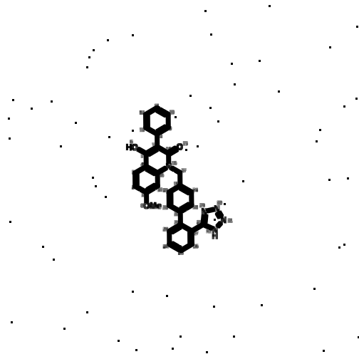 COc1ccc2c(O)c(-c3ccccc3)c(=O)n(Cc3ccc(-c4ccccc4-c4nnn[nH]4)cc3)c2c1